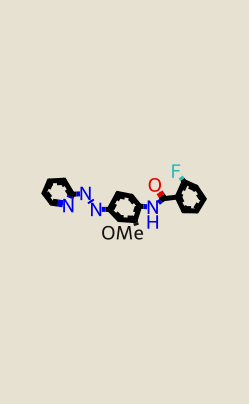 COc1cc(N=Nc2ccccn2)ccc1NC(=O)c1ccccc1F